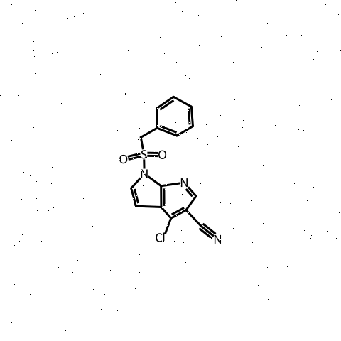 N#Cc1cnc2c(ccn2S(=O)(=O)Cc2ccccc2)c1Cl